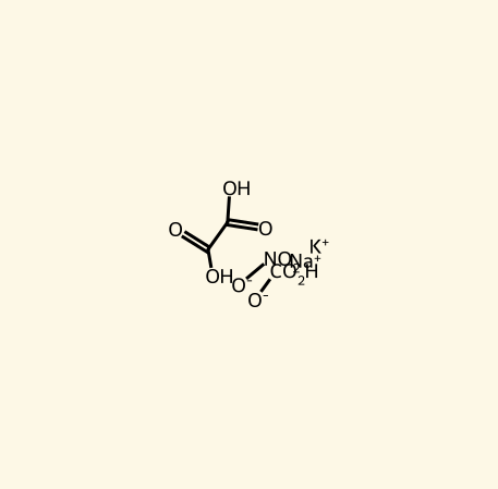 O=C(O)C(=O)O.O=C([O-])O.O=[N+]([O-])[O-].[K+].[Na+]